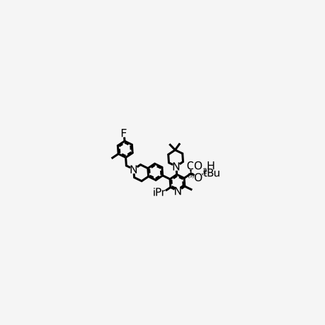 Cc1cc(F)ccc1CN1CCc2cc(-c3c(C(C)C)nc(C)c([C@H](OC(C)(C)C)C(=O)O)c3N3CCC(C)(C)CC3)ccc2C1